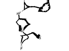 N#CCC1(N2CCC(N[C@@H]3CC3c3ccccc3)CC2)CNC1